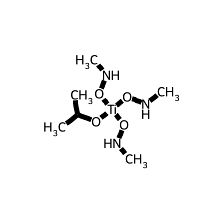 CN[O][Ti]([O]NC)([O]NC)[O]C(C)C